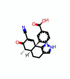 C[C@@H]1C(=O)C(C#N)=C[C@]2(c3cccc(C(=O)O)c3)c3n[nH]cc3CC[C@@H]12